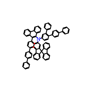 c1ccc(-c2ccc(-c3ccc(-c4c(N(c5ccc(-c6ccc(-c7ccccc7)cc6)c(-c6ccccc6)c5)c5ccc6c(c5)C5(c7ccccc7-c7ccccc75)c5ccccc5-6)c5ccccc5c5ccccc45)cc3)cc2)cc1